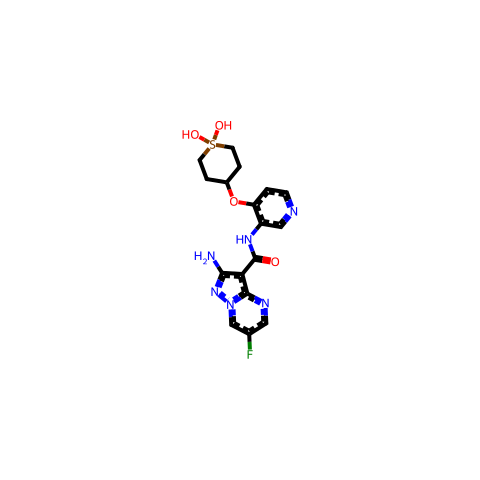 Nc1nn2cc(F)cnc2c1C(=O)Nc1cnccc1OC1CCS(O)(O)CC1